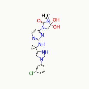 CN1C(=O)N(c2ccnc(NC3(C4=CN(c5cccc(Cl)c5)CN4)CC3)n2)CC1(O)O